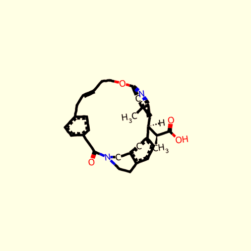 Cc1cc2ncc1[C@@H]([C@H](C)C(=O)O)c1ccc3c(c1)CN(CC3)C(=O)c1ccc(cc1)C/C=C/CCO2